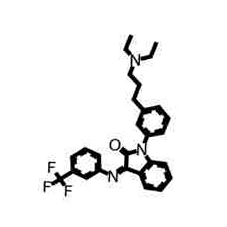 CCN(CC)CCCc1cccc(N2C(=O)C(=Nc3cccc(C(F)(F)F)c3)c3ccccc32)c1